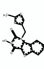 Cc1nc(Cn2c(=O)n(O)c(=O)c3oc4ccccc4c32)cs1